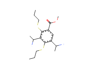 CCCSc1c(C(=O)OC)cc(C(C)N)c(SCCC)c1C(C)N